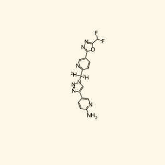 [2H]C([2H])(c1ccc(-c2nnc(C(F)F)o2)cn1)n1cc(-c2ccc(N)nc2)nn1